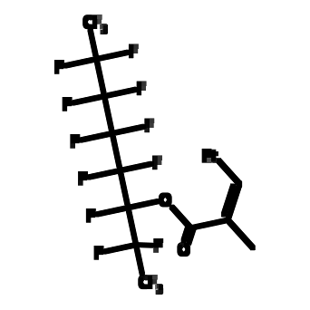 CCC=C(C)C(=O)OC(F)(C(F)(F)C(F)(F)F)C(F)(F)C(F)(F)C(F)(F)C(F)(F)C(F)(F)F